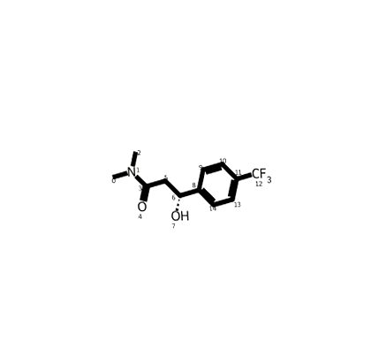 CN(C)C(=O)C[C@@H](O)c1ccc(C(F)(F)F)cc1